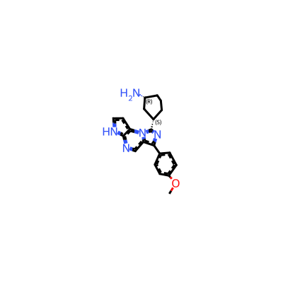 COc1ccc(-c2nc([C@H]3CCC[C@@H](N)C3)n3c2cnc2[nH]ccc23)cc1